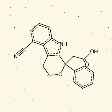 N#Cc1cccc2[nH]c3c(c12)CCOC3(CC(=O)O)c1ccccc1